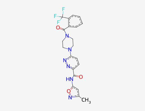 Cc1cc(NC(=O)c2ccc(N3CCN(C(=O)c4ccccc4C(F)(F)F)CC3)nn2)on1